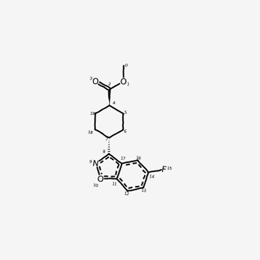 COC(=O)[C@H]1CC[C@H](c2noc3ccc(F)cc32)CC1